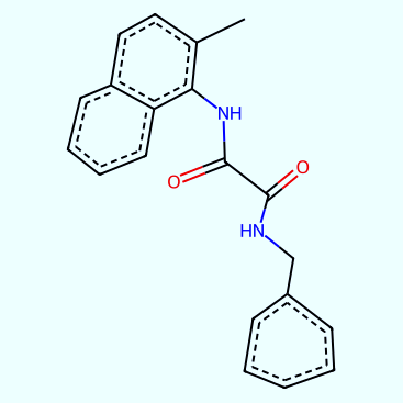 Cc1ccc2ccccc2c1NC(=O)C(=O)NCc1ccccc1